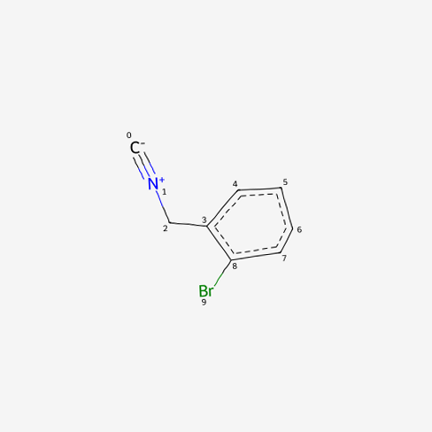 [C-]#[N+]Cc1ccccc1Br